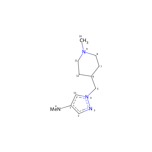 CNc1cnn(CC2CCN(C)CC2)c1